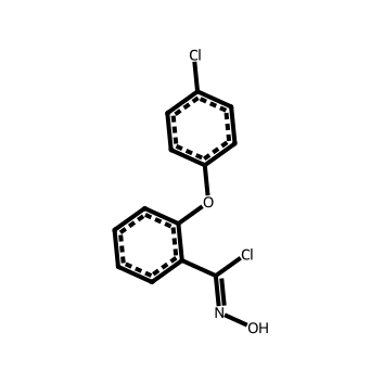 ON=C(Cl)c1ccccc1Oc1ccc(Cl)cc1